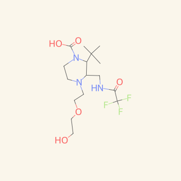 CC(C)(C)C1C(CNC(=O)C(F)(F)F)N(CCOCCO)CCN1C(=O)O